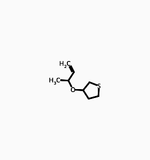 C=CC(C)OC1CCSC1